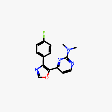 CN(C)c1nccc(-c2ocnc2-c2ccc(F)cc2)n1